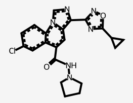 O=C(NN1CCCC1)c1cc2c(-c3noc(C4CC4)n3)ncn2c2ccc(Cl)cc12